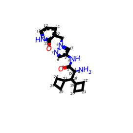 N[C@H](C(=O)Nc1cnn(Cc2ccc[nH]c2=O)c1)C(C1CCC1)C1CCC1